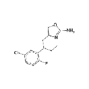 CCC(CC1COC(N)=N1)c1cc(Cl)ccc1F